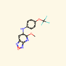 COc1nc2nonc2cc1Nc1ccc(OC(F)(F)F)cc1